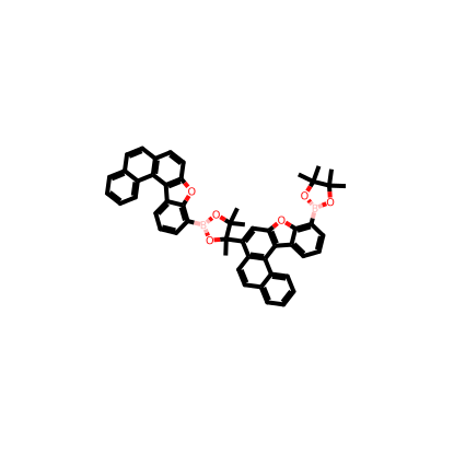 CC1(C)OB(c2cccc3c2oc2cc(C4(C)OB(c5cccc6c5oc5ccc7ccc8ccccc8c7c56)OC4(C)C)c4ccc5ccccc5c4c23)OC1(C)C